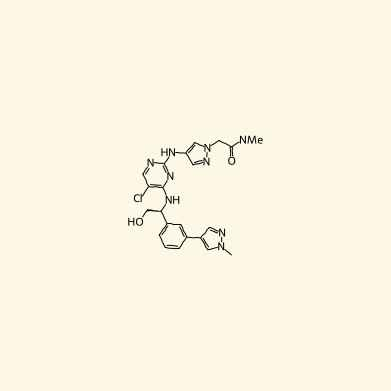 CNC(=O)Cn1cc(Nc2ncc(Cl)c(N[C@H](CO)c3cccc(-c4cnn(C)c4)c3)n2)cn1